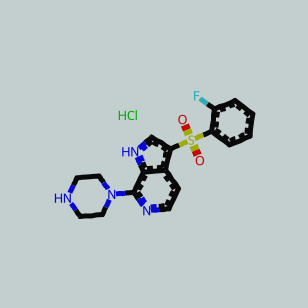 Cl.O=S(=O)(c1ccccc1F)c1c[nH]c2c(N3CCNCC3)nccc12